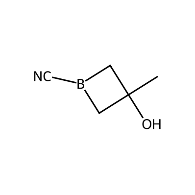 CC1(O)CB(C#N)C1